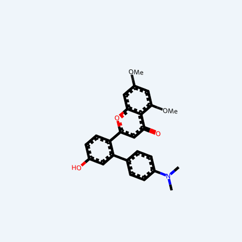 COc1cc(OC)c2c(=O)cc(-c3ccc(O)cc3-c3ccc(N(C)C)cc3)oc2c1